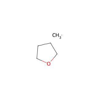 C1CCOC1.[CH3]